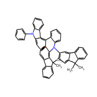 CC1(C)c2ccccc2-c2cc(N(c3ccccc3-c3cccc4c3c3ccccc3n4-c3ccccc3)c3cccc4c3C(C)(C)c3ccccc3-4)ccc21